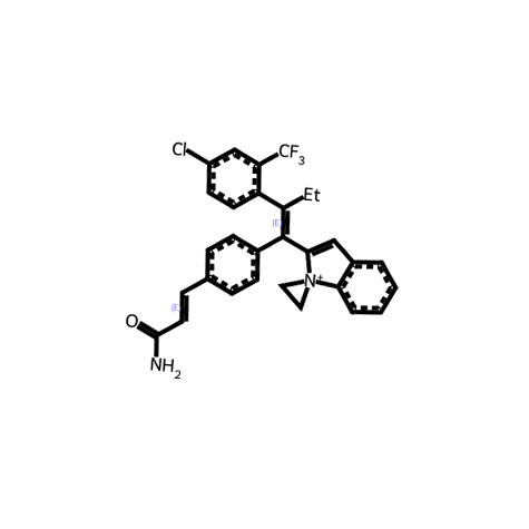 CC/C(=C(\C1=Cc2ccccc2[N+]12CC2)c1ccc(/C=C/C(N)=O)cc1)c1ccc(Cl)cc1C(F)(F)F